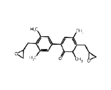 CC1=C(CC2CO2)C(C)C(=O)C(c2cc(C)c(CC3CO3)c(C)c2)=C1